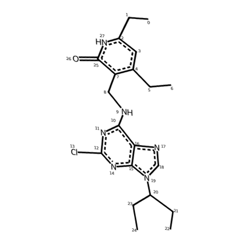 CCc1cc(CC)c(CNc2nc(Cl)nc3c2ncn3C(CC)CC)c(=O)[nH]1